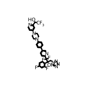 OC(c1cc(N2CCN(c3ccc(-c4ccc(C(F)(F)C(O)(Cn5cnnn5)c5ccc(F)cc5F)nc4)cc3)CC2)ccn1)C(F)(F)F